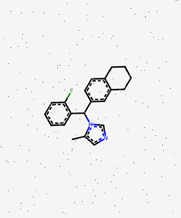 Cc1cncn1C(c1ccc2c(c1)CCCC2)c1ccccc1F